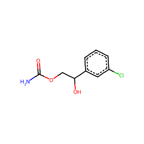 NC(=O)OCC(O)c1cccc(Cl)c1